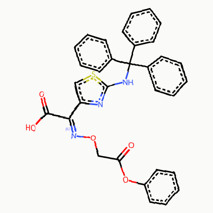 O=C(CO/N=C(/C(=O)O)c1csc(NC(c2ccccc2)(c2ccccc2)c2ccccc2)n1)Oc1ccccc1